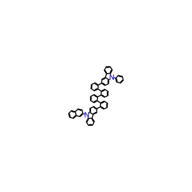 c1ccc(-n2c3ccccc3c3cc(-c4ccccc4-c4ccccc4-c4ccccc4-c4ccccc4-c4ccc5c(c4)c4ccccc4n5-c4ccc5ccccc5c4)ccc32)cc1